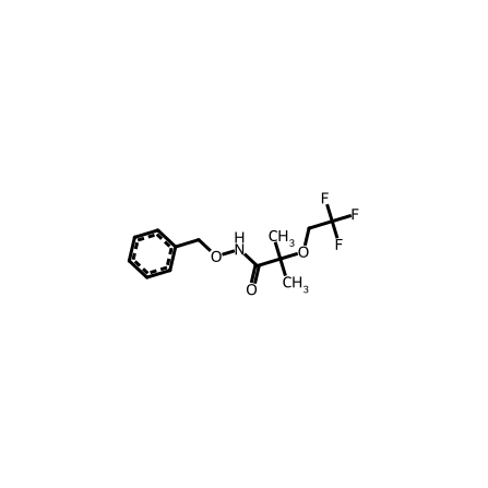 CC(C)(OCC(F)(F)F)C(=O)NOCc1ccccc1